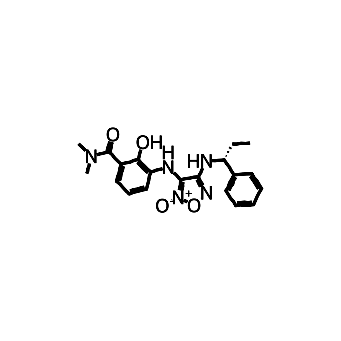 CC[C@@H](Nc1no[n+]([O-])c1Nc1cccc(C(=O)N(C)C)c1O)c1ccccc1